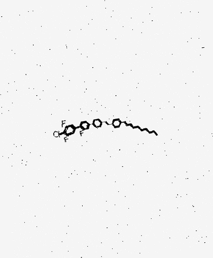 CCCCCCCCCC[C@H]1CC[C@H](CC[C@H]2CC[C@H](c3ccc(-c4cc(F)c(Cl)c(F)c4)c(F)c3)CC2)CC1